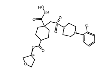 O=C(O[C@H]1CCOC1)N1CCC(CS(=O)(=O)N2CCN(c3ccccc3Cl)CC2)(C(=O)NO)CC1